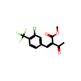 COC(=O)/C(=C\c1ccc(C(F)(F)F)c(Cl)c1)C(C)=O